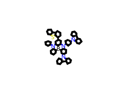 c1ccc(N2c3ccccc3B3c4cc(-n5c6ccccc6c6ccccc65)ccc4N(c4ccc(-n5c6ccccc6c6ccccc65)cc4)c4cc(-c5cccc6c5sc5ccccc56)cc2c43)cc1